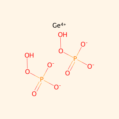 O=P([O-])([O-])OO.O=P([O-])([O-])OO.[Ge+4]